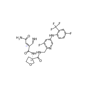 N=C/C(=C\C(N)=O)C(=O)N[C@@]1(C(=O)NCc2ncc(Nc3ccc(F)cc3C(F)(F)F)cc2F)CCOC1